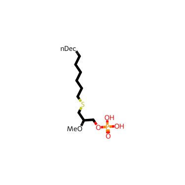 CCCCCCCCCCCCCCCCSCC(COP(=O)(O)O)OC